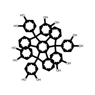 Oc1ccc(C2(c3ccc(O)c(O)c3)c3ccccc3-c3c2c2c(c4c3C(c3ccc(O)c(O)c3)(c3ccc(O)c(O)c3)c3ccccc3-4)C(c3ccc(O)c(O)c3)(c3ccc(O)c(O)c3)c3ccccc3-2)cc1O